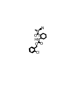 CN(C#N)C(=O)[C@H]1CCCC[C@H]1NC(=O)OCc1ccccc1Cl